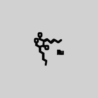 CC/C=C/C=C(/C=O)C(=O)/C(C=O)=C\C=C\CC.[Ru]